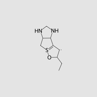 CCC1[CH]C2=S(CC3NCNC23)O1